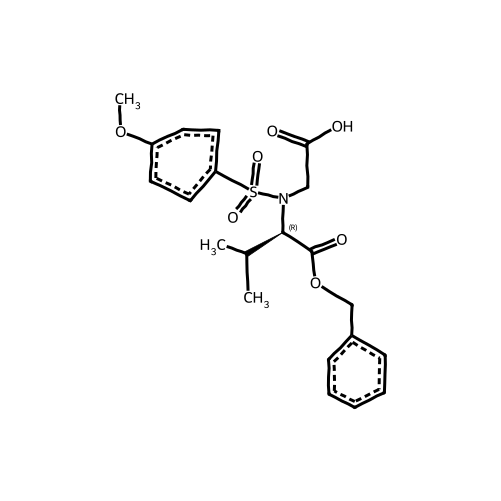 COc1ccc(S(=O)(=O)N(CC(=O)O)[C@@H](C(=O)OCc2ccccc2)C(C)C)cc1